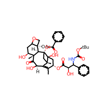 CC(=O)O[C@@]12COC1C[C@H](O)[C@@]1(C)C(=O)[C@H](O)C3=C(C)[C@@H](OC(=O)[C@H](O)C(NC(=O)OC(C)(C)C)c4ccccc4)C[C@]4(O)[C@@]3(C)C[C@@]4(OC(=O)c3ccccc3)[C@@H]12